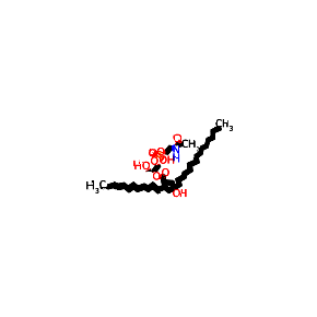 CCCCCCCCCCCCCCCCC(O)(CCCCCCCCCCCCCC)CCC(=O)O[C@H](CO)COP(=O)(O)OCCNC(C)=O